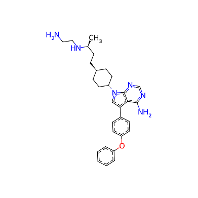 C[C@@H](CC[C@H]1CC[C@H](n2cc(-c3ccc(Oc4ccccc4)cc3)c3c(N)ncnc32)CC1)NCCN